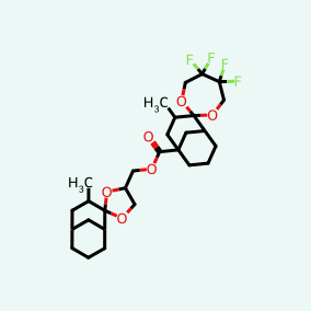 CC1CC2(C(=O)OCC3COC4(O3)C(C)CC3CCCC4C3)CCCC(C2)C12OCC(F)(F)C(F)(F)CO2